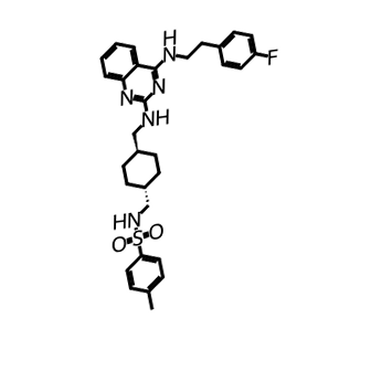 Cc1ccc(S(=O)(=O)NC[C@H]2CC[C@H](CNc3nc(NCCc4ccc(F)cc4)c4ccccc4n3)CC2)cc1